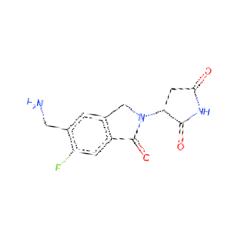 NCc1cc2c(cc1F)C(=O)N(C1CC(=O)NC1=O)C2